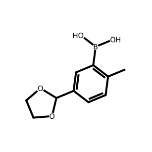 Cc1ccc(C2OCCO2)cc1B(O)O